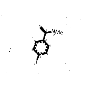 C=C(NC)c1ccc(I)cc1